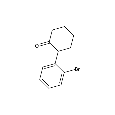 O=C1CCCCC1c1ccccc1Br